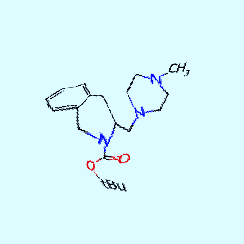 CN1CCN(CC2Cc3ccccc3CN2C(=O)OC(C)(C)C)CC1